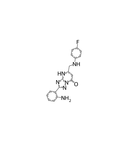 Nc1ccccc1-c1nc2[nH]c(CNc3ccc(F)cc3)cc(=O)n2n1